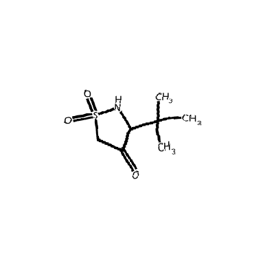 CC(C)(C)C1NS(=O)(=O)CC1=O